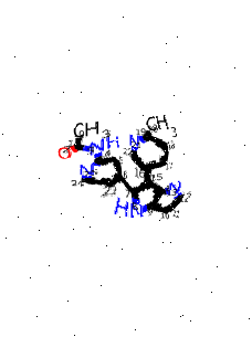 CC(=O)Nc1cc(-c2[nH]c3cccnc3c2-c2ccc(C)nc2)ccn1